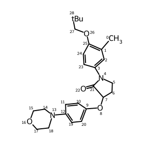 Cc1cc(N2CCC(Oc3ccc(N4CCOCC4)cc3)C2=O)ccc1OCC(C)(C)C